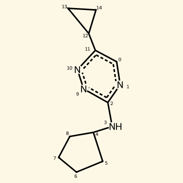 c1nc(NC2CCCC2)nnc1C1CC1